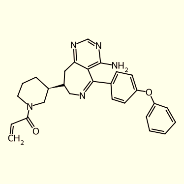 C=CC(=O)N1CCC[C@@H](C2CN=C(c3ccc(Oc4ccccc4)cc3)c3c(N)ncnc3C2)C1